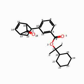 CC(C)(OC(=O)c1cccc(C2CC3C=CC2C3=O)c1)C1CCCCC1